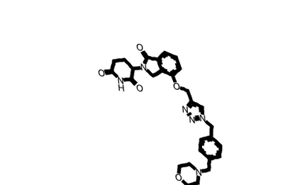 O=C1CCC(N2Cc3c(OCc4cn(Cc5ccc(CN6CCOCC6)cc5)nn4)cccc3C2=O)C(=O)N1